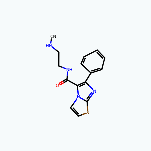 N#CNCCNC(=O)c1c(-c2ccccc2)nc2sccn12